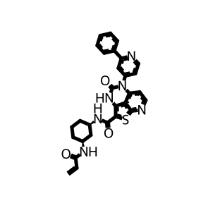 C=CC(=O)N[C@H]1CCC[C@@H](NC(=O)c2sc3nccc4c3c2NC(=O)N4c2ccnc(-c3ccccc3)c2)C1